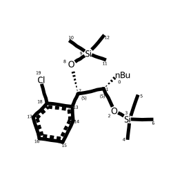 CCCC[C@H](O[Si](C)(C)C)[C@@H](O[Si](C)(C)C)c1ccccc1Cl